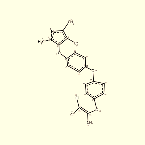 CCc1c(C)nn(C)c1Oc1ccc(Oc2ccc(OC(C)=C(Cl)Cl)cc2)cc1